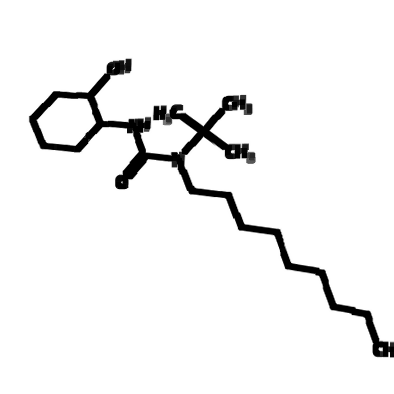 CCCCCCCCCN(C(=O)NC1CCCCC1O)C(C)(C)C